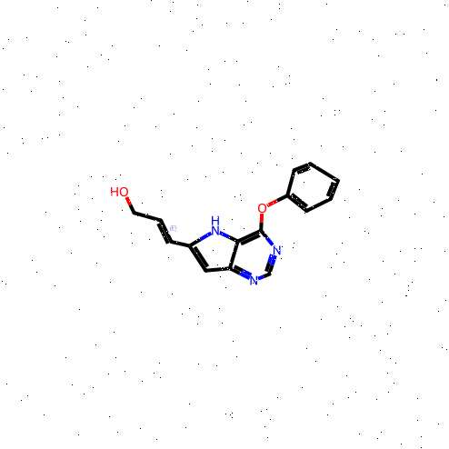 OC/C=C/c1cc2ncnc(Oc3ccccc3)c2[nH]1